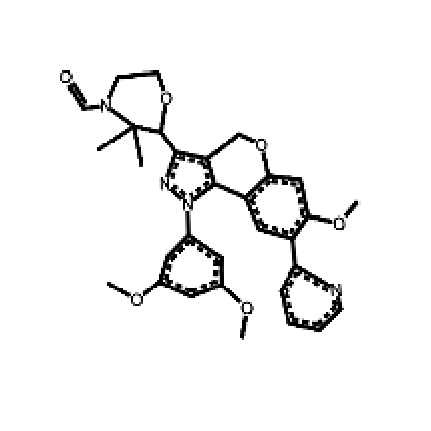 COc1cc(OC)cc(-n2nc(C3OCCN(C=O)C3(C)C)c3c2-c2cc(-c4ccccn4)c(OC)cc2OC3)c1